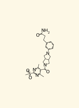 Cc1nc(S(C)(=O)=O)nc(C)c1C(=O)N1CC2CN(c3cccc(CCC(N)=O)c3)CC2C1